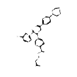 O=C(O)CCNC(=O)c1ccc(C(CC(=O)c2ccc(C3CCCCC3)cc2)C(=O)c2cccc(Br)c2)cc1